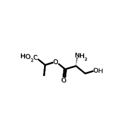 CC(OC(=O)[C@H](N)CO)C(=O)O